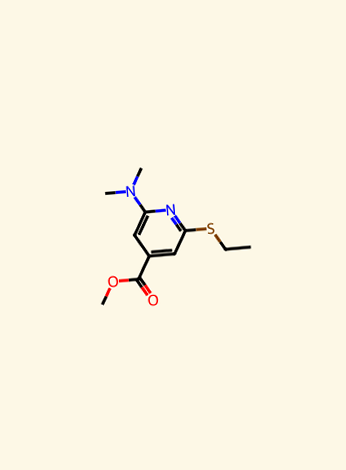 CCSc1cc(C(=O)OC)cc(N(C)C)n1